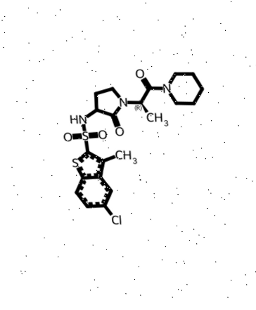 Cc1c(S(=O)(=O)NC2CCN([C@H](C)C(=O)N3CCCCC3)C2=O)sc2ccc(Cl)cc12